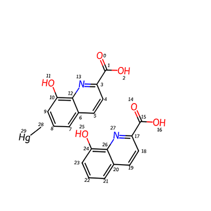 O=C(O)c1ccc2cccc(O)c2n1.O=C(O)c1ccc2cccc(O)c2n1.[CH3][Hg]